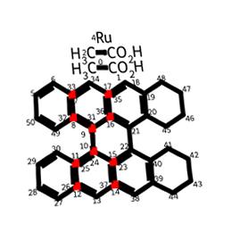 CC(=O)O.CC(=O)O.[Ru].c1ccc(P(c2ccccc2)c2ccc3c(c2-c2c(P(c4ccccc4)c4ccccc4)ccc4c2CCCC4)CCCC3)cc1